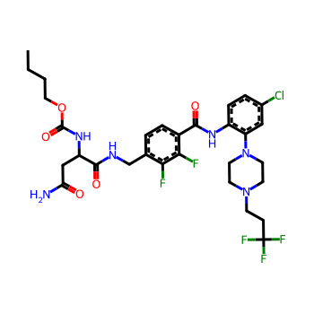 CCCCOC(=O)NC(CC(N)=O)C(=O)NCc1ccc(C(=O)Nc2ccc(Cl)cc2N2CCN(CCC(F)(F)F)CC2)c(F)c1F